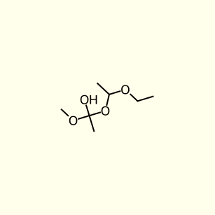 CCOC(C)OC(C)(O)OC